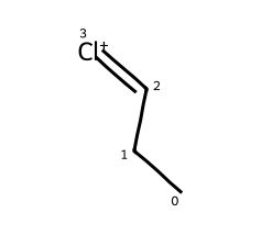 CCC=[Cl+]